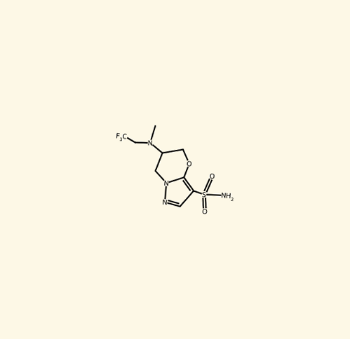 CN(CC(F)(F)F)C1COc2c(S(N)(=O)=O)cnn2C1